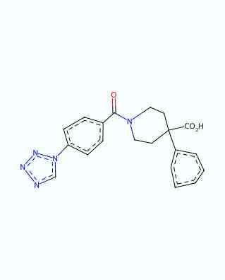 O=C(c1ccc(-n2cnnn2)cc1)N1CCC(C(=O)O)(c2ccccc2)CC1